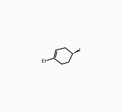 CCC1=CC[C@@H](I)CC1